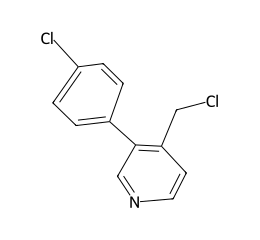 ClCc1ccncc1-c1ccc(Cl)cc1